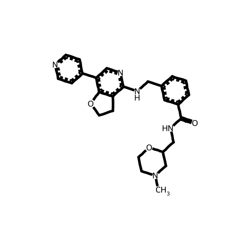 CN1CCOC(CNC(=O)c2cccc(CNc3ncc(-c4ccncc4)c4c3CCO4)c2)C1